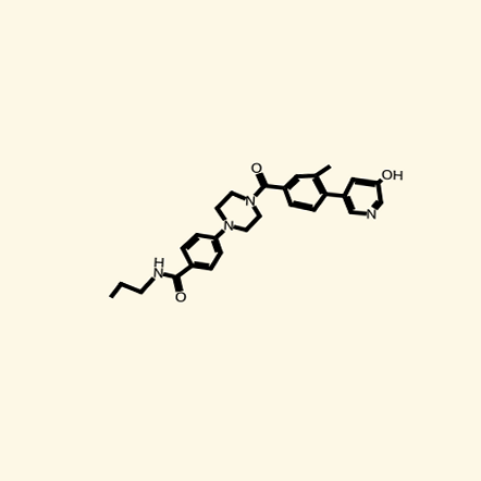 CCCNC(=O)c1ccc(N2CCN(C(=O)c3ccc(-c4cncc(O)c4)c(C)c3)CC2)cc1